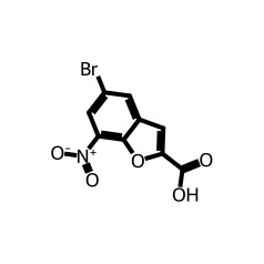 O=C(O)c1cc2cc(Br)cc([N+](=O)[O-])c2o1